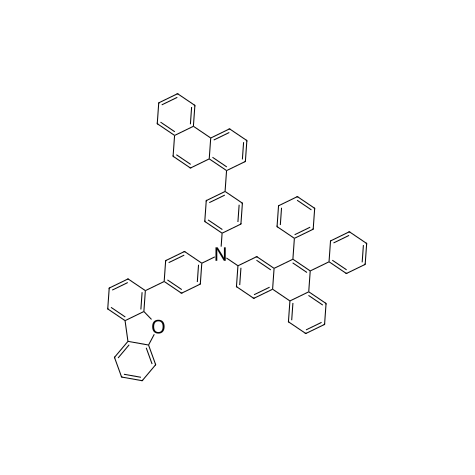 c1ccc(-c2c(-c3ccccc3)c3cc(N(c4ccc(-c5cccc6c5ccc5ccccc56)cc4)c4ccc(-c5cccc6c5oc5ccccc56)cc4)ccc3c3ccccc23)cc1